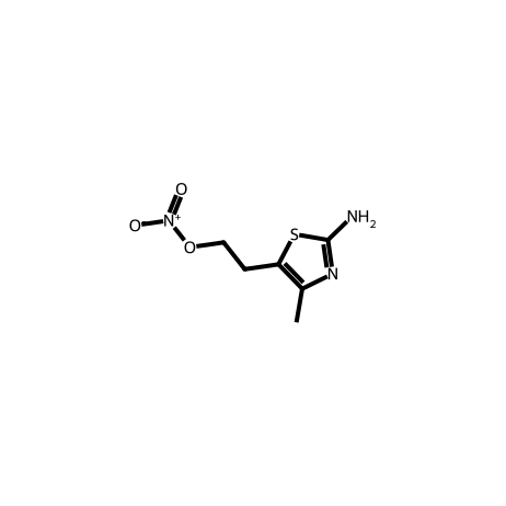 Cc1nc(N)sc1CCO[N+](=O)[O-]